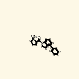 N#CN1CCCC1C(=O)N1CCc2c(-c3ccccc3)cccc21